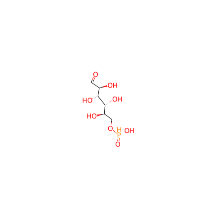 O=C[C@@H](O)[C@@H](O)[C@H](O)[C@H](O)CO[PH](=O)O